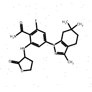 Cc1nn(-c2cc(F)c(C(N)=O)c(NC3CCOC3=O)c2)c2c1CCC(C)(C)C2